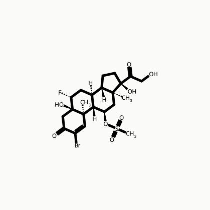 C[C@]12C[C@@H](OS(C)(=O)=O)[C@H]3[C@@H](C[C@@H](F)[C@@]4(O)CC(=O)C(Br)=C[C@]34C)[C@@H]1CC[C@]2(O)C(=O)CO